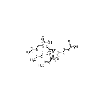 CCCC(=O)O.CCCCCC(=O)O.CCCCCC(=O)O.CCCCCC(=O)O